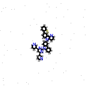 c1cncc(-c2cc(-c3cccnc3)nc(-n3c4ccccc4c4cc(-n5c6cccnc6c6c7sc8ccccc8c7ccc65)ccc43)n2)c1